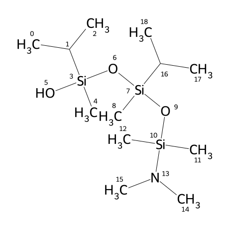 CC(C)[Si](C)(O)O[Si](C)(O[Si](C)(C)N(C)C)C(C)C